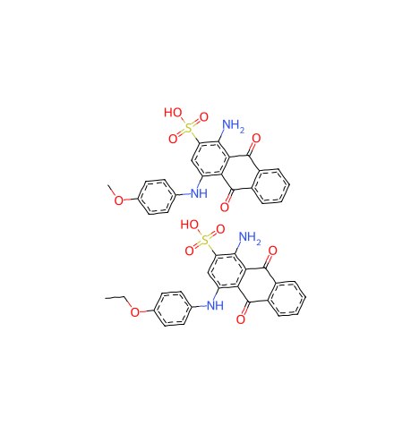 CCOc1ccc(Nc2cc(S(=O)(=O)O)c(N)c3c2C(=O)c2ccccc2C3=O)cc1.COc1ccc(Nc2cc(S(=O)(=O)O)c(N)c3c2C(=O)c2ccccc2C3=O)cc1